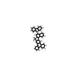 CC1(C)c2cc3c4ccccc4c4ccccc4c3cc2-c2c1cc(-n1c3ccccc3c3ccccc31)c1ccccc21